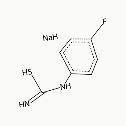 N=C(S)Nc1ccc(F)cc1.[NaH]